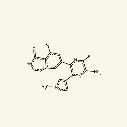 Cn1ccc(-c2nc(N)c(F)nc2-c2cc(Cl)c3c(=O)[nH]ccc3c2)c1